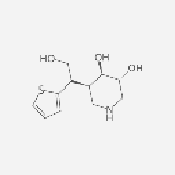 OCC(c1cccs1)[C@@H]1CNC[C@@H](O)[C@@H]1O